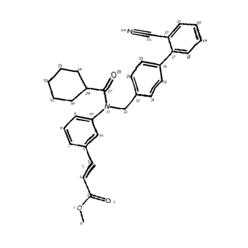 COC(=O)/C=C/c1cccc(N(Cc2ccc(-c3ccccc3C#N)cc2)C(=O)C2CCCCC2)c1